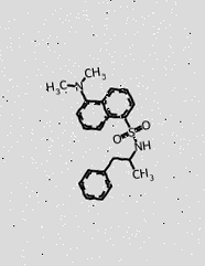 CC(Cc1ccccc1)NS(=O)(=O)c1cccc2c(N(C)C)cccc12